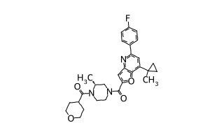 C[C@H]1CN(C(=O)c2cc3nc(-c4ccc(F)cc4)cc(C4(C)CC4)c3o2)CCN1C(=O)C1CCOCC1